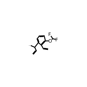 [CH2]C(C=C)c1cccc(OC(F)F)c1C=C